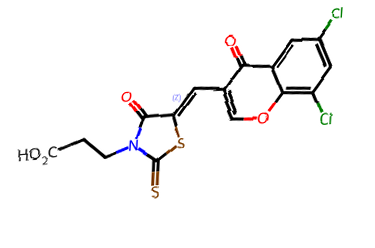 O=C(O)CCN1C(=O)/C(=C/c2coc3c(Cl)cc(Cl)cc3c2=O)SC1=S